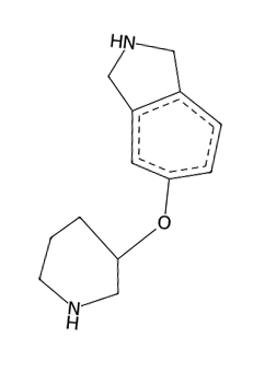 c1cc2c(cc1OC1CCCNC1)CNC2